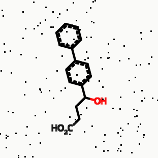 O=C(O)CCC(O)c1ccc(-c2ccccc2)cc1